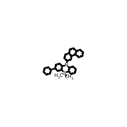 CS1(C)c2ccccc2N(c2ccc3ccc4ccccc4c3c2)c2ccc(-c3ccccc3)cc21